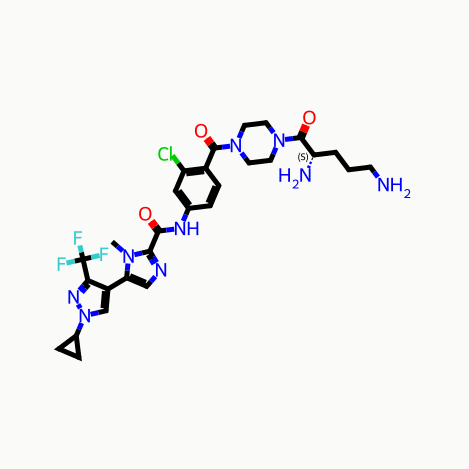 Cn1c(-c2cn(C3CC3)nc2C(F)(F)F)cnc1C(=O)Nc1ccc(C(=O)N2CCN(C(=O)[C@@H](N)CCCN)CC2)c(Cl)c1